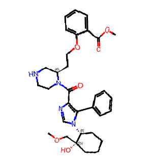 COC[C@]1(O)CCCC[C@H]1n1cnc(C(=O)N2CCNC[C@H]2CCOc2ccccc2C(=O)OC)c1-c1ccccc1